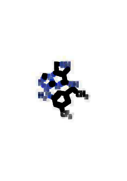 CC(Nc1nc2nncn2c2c1CNC2)c1cc(N)cc(C(F)(F)F)c1